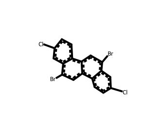 Clc1ccc2c(c1)c(Br)cc1c3ccc(Cl)cc3c(Br)cc21